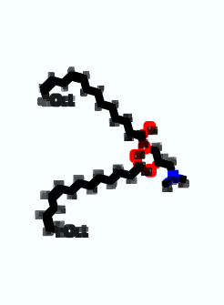 CCCCCCCC/C=C\C/C=C\CCCCCCCC(=O)OCC(CN(C)C)OC(=O)CCCCCCC/C=C\C/C=C\CCCCCCCC